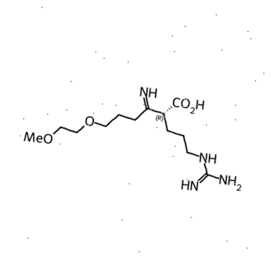 COCCOCCCC(=N)[C@@H](CCCNC(=N)N)C(=O)O